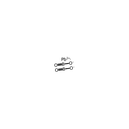 O=B[O-].O=B[O-].[Pb+2]